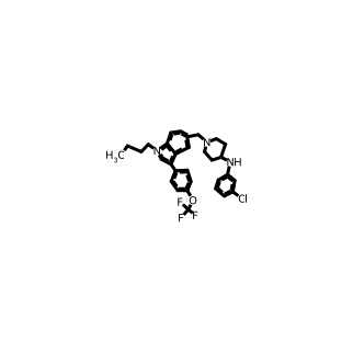 CCCCn1cc(-c2ccc(OC(F)(F)F)cc2)c2cc(CN3CCC(Nc4cccc(Cl)c4)CC3)ccc21